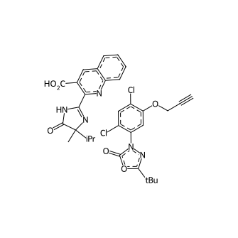 C#CCOc1cc(-n2nc(C(C)(C)C)oc2=O)c(Cl)cc1Cl.CC(C)C1(C)N=C(c2nc3ccccc3cc2C(=O)O)NC1=O